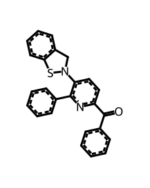 O=C(c1ccccc1)c1ccc(N2Cc3ccccc3S2)c(-c2ccccc2)n1